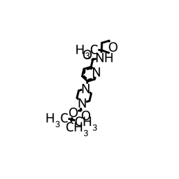 CC1(NC(=O)c2ccc(N3CCN(C(=O)OC(C)(C)C)CC3)cn2)CCOC1